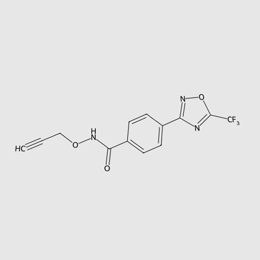 C#CCONC(=O)c1ccc(-c2noc(C(F)(F)F)n2)cc1